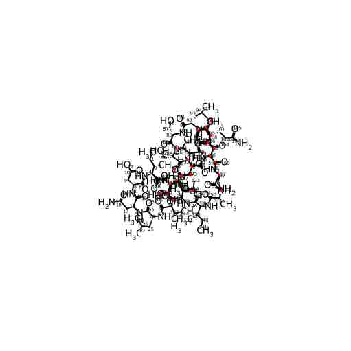 CC[C@H](C)[C@H](NC(=O)[C@H](CC(=O)O)NC(=O)[C@H](CC(N)=O)NC(=O)[C@H](CC(C)C)NC(=O)[C@@H](NC(=O)[C@H](CO)NC(=O)[C@H](CO)NC(=O)[C@@H](NC(=O)[C@H](C)NC(=O)CNC(=O)[C@H](Cc1ccccc1)NC(=O)[C@H](CC(N)=O)NC(=O)[C@H](CO)NC(=O)[C@H](CO)NC(=O)[C@H](CC(C)C)NC(=O)[C@H](CCC(N)=O)NC(=O)[C@H](CCCCN)NC(=O)[C@@H](NC(=O)[C@H](CC(C)C)NC(=O)[C@@H](N)[C@@H](C)O)C(C)C)[C@@H](C)CC)C(C)C)C(=O)O